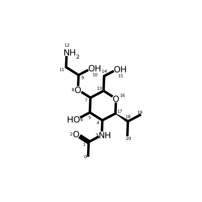 CC(=O)NC1C(O)C(OC(O)CN)C(CO)O[C@H]1C(C)C